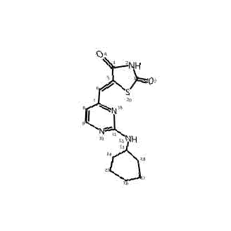 O=C1NC(=O)C(=Cc2ccnc(NC3CCCCC3)n2)S1